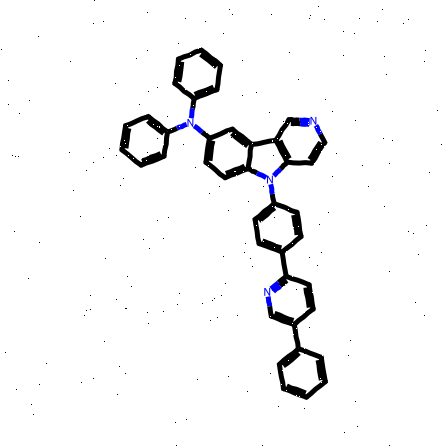 c1ccc(-c2ccc(-c3ccc(-n4c5ccncc5c5cc(N(c6ccccc6)c6ccccc6)ccc54)cc3)nc2)cc1